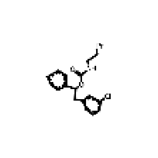 CC(C)CCNC(=O)OC(Cc1cccc(Cl)c1)c1ccccc1